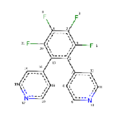 Fc1c(F)c(F)c(-c2ccncc2)c(-c2ccncc2)c1F